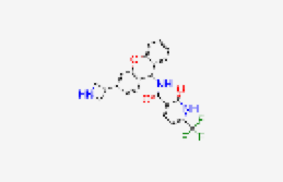 O=C(NC1c2ccccc2Oc2cc(C3CNC3)ccc21)c1ccc(C(F)(F)F)[nH]c1=O